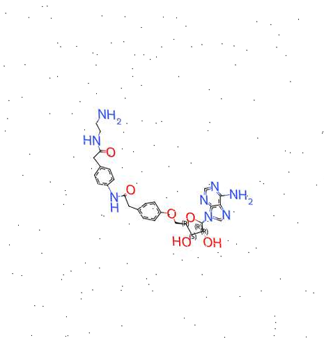 NCCNC(=O)Cc1ccc(NC(=O)Cc2ccc(OC[C@H]3O[C@@H](n4cnc5c(N)ncnc54)[C@H](O)[C@@H]3O)cc2)cc1